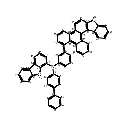 c1ccc(-c2ccc(N(c3cccc(-c4cccc5c6ccc7oc8ccccc8c7c6c6ccccc6c45)c3)c3cccc4c3oc3ccccc34)cc2)cc1